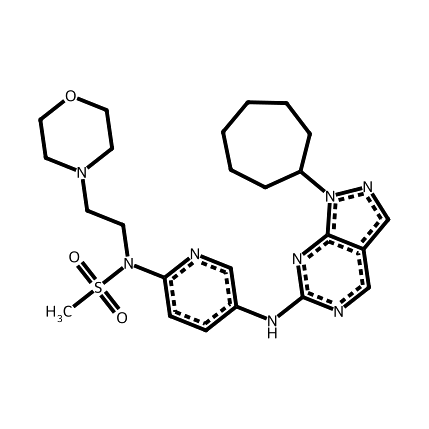 CS(=O)(=O)N(CCN1CCOCC1)c1ccc(Nc2ncc3cnn(C4CCCCCC4)c3n2)cn1